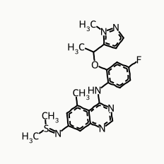 Cc1cc(N=S(C)C)cc2ncnc(Nc3ccc(F)cc3OC(C)c3ccnn3C)c12